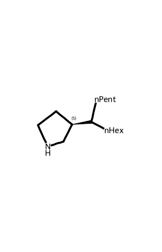 CCCCCCC(CCCCC)[C@@H]1CCNC1